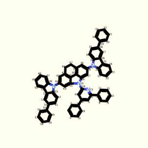 c1ccc(-c2cc(-c3ccccc3)nc(-n3c4cc(-n5c6ccccc6c6cc(-c7ccccc7)ccc65)cc5c4c4c(cc(-n6c7ccccc7c7cc(-c8ccccc8)ccc76)cc43)CC5)c2)cc1